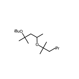 CC(C)COC(C)(C)CC(C)OC(C)(C)CC(C)C